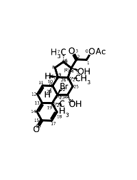 CC(=O)OCC(=O)[C@@]1(O)[C@@H](C)C[C@H]2[C@@H]3C=CC4=CC(=O)C=C[C@]4(C)[C@@]3(Br)[C@@H](O)C[C@@]21C